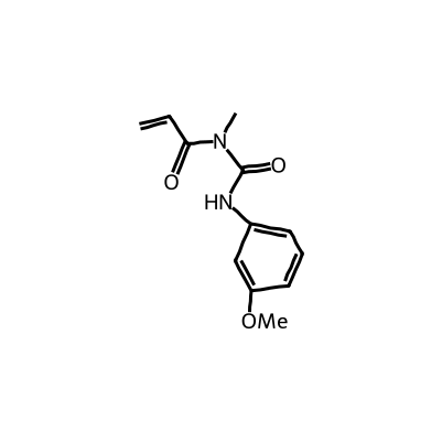 C=CC(=O)N(C)C(=O)Nc1cccc(OC)c1